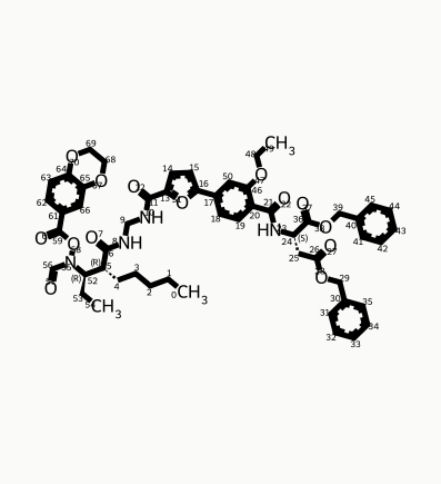 CCCCC[C@@H](C(=O)NCNC(=O)c1ccc(-c2ccc(C(=O)N[C@@H](CC(=O)OCc3ccccc3)C(=O)OCc3ccccc3)c(OCC)c2)o1)[C@@H](CC)N(C=O)OC(=O)c1ccc2c(c1)OCCO2